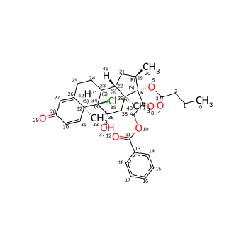 CCCC(=O)O[C@@]1(C(=O)COC(=O)c2ccccc2)[C@H](C)C[C@H]2[C@@H]3CCC4=CC(=O)C=C[C@]4(C)[C@@]3(Cl)[C@@H](O)C[C@@]21C